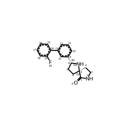 O=C1NCC[C@@]12CC[C@H](c1cccc(-c3ccccc3F)c1)N2